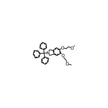 COCCOc1cc2c(cc1OCCOC)CN(C(c1ccccc1)(c1ccccc1)c1ccccc1)C2